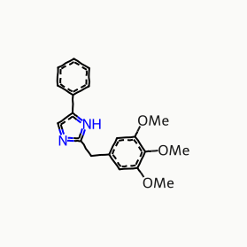 COc1cc(Cc2ncc(-c3ccccc3)[nH]2)cc(OC)c1OC